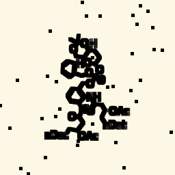 CCCCCCCCCCC[C@H](CC(=O)Nc1cccc(COP(=O)(OCc2ccccc2)O[C@@H]2CC[C@@H]3OC(C)(C)OC[C@H]3O2)c1NC(=O)C[C@@H](CCCCCCCCCCC)OC(C)=O)OC(C)=O